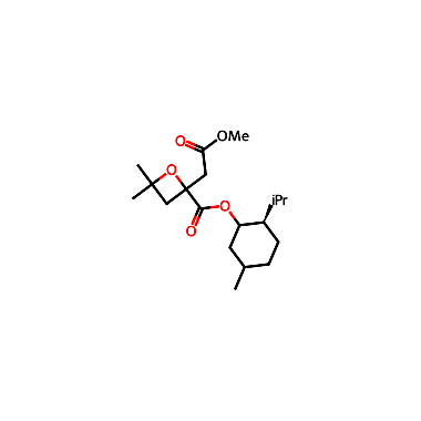 COC(=O)CC1(C(=O)OC2CC(C)CC[C@@H]2C(C)C)CC(C)(C)O1